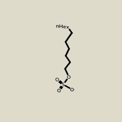 CCCCCCCCCCCCOS([O])(=O)=O